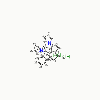 C1=C[C]([Zr][C]2(n3cccc3)C=Cc3ccccc32)(n2cccc2)c2ccccc21.Cl.Cl